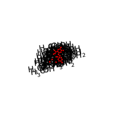 CC1C(O)[C@H](O[C@@H]2OC(CO[C@]3(C(=O)O)C[C@@H](O)[C@@H](N)C([C@H](O)[C@H](O)CO)O3)[C@H](O)C(O)[C@@H]2O)[C@H](CO)O[C@H]1O[C@@H]1C(O)[C@H](O)C(CO)O[C@@H]1OCC1O[C@@H](O[C@@H]2C(CO)O[C@@H](O[C@@H]3C(CO)O[C@@H](C)C(C)[C@H]3O)C(C)[C@H]2O)C(O)C(O[C@H]2O[C@H](CO)[C@@H](O)C(O)C2O[C@@H]2OC(CO)[C@@H](O[C@@H]3OC(CO[C@]4(C(=O)O)C[C@@H](O)[C@@H](N)C([C@H](O)[C@H](O)CO)O4)[C@H](O)C(O)[C@@H]3O)C(O)[C@@H]2C)[C@@H]1O